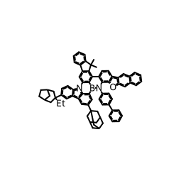 CCC1(c2ccc3c(c2)c2cc(C45CC6CC(CC(C6)C4)C5)cc4c2n3-c2cc3c(c5c2B4N(c2ccc(-c4ccccc4)cc2)c2c-5ccc4c2oc2cc5ccccc5cc24)C(C)(C)c2ccccc2-3)CC2CCC(C2)C1